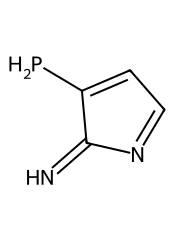 N=C1N=CC=C1P